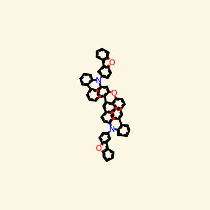 c1ccc(-c2ccccc2N(c2ccc3c(c2)Oc2cccc4c2c-3cc2ccc(N(c3ccc5oc6ccccc6c5c3)c3ccccc3-c3ccccc3)cc24)c2ccc3oc4ccccc4c3c2)cc1